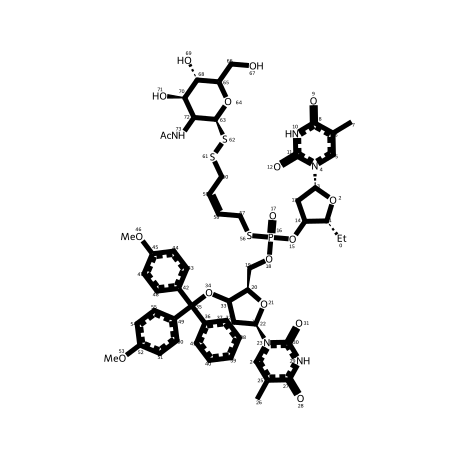 CC[C@H]1O[C@@H](n2cc(C)c(=O)[nH]c2=O)CC1OP(=O)(OC[C@H]1O[C@@H](n2cc(C)c(=O)[nH]c2=O)CC1OC(c1ccccc1)(c1ccc(OC)cc1)c1ccc(OC)cc1)SC/C=C\CSS[C@@H]1OC(CO)[C@@H](O)[C@H](O)C1NC(C)=O